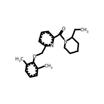 CCC1CCCCN1C(=O)c1cccc(COc2c(C)cccc2C)n1